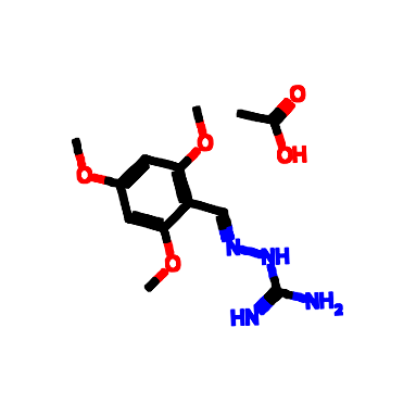 CC(=O)O.COc1cc(OC)c(C=NNC(=N)N)c(OC)c1